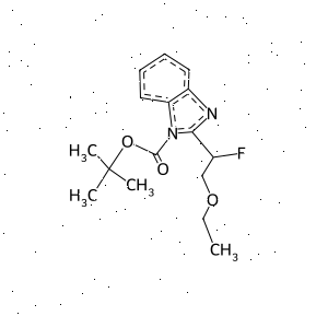 CCOCC(F)c1nc2ccccc2n1C(=O)OC(C)(C)C